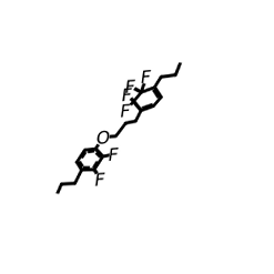 CCCC1=CC=C(CCCOc2ccc(CCC)c(F)c2F)C(F)(F)C1(F)F